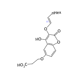 CCCCCC/C=C/Oc1c(O)c2cc(OCCC(=O)O)ccc2oc1=O